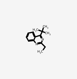 CCc1nc(C(C)(C)C)c2ccccc2n1